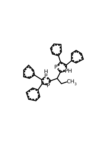 CCC(c1pc(-c2ccccc2)c(-c2ccccc2)[pH]1)c1pc(-c2ccccc2)c(-c2ccccc2)[pH]1